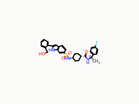 C[C@@H](NC(=O)[C@H]1CC[C@H](NS(=O)(=O)c2ccc3cc(-c4ccccc4CO)[nH]c3c2)CC1)c1ccc(F)cc1